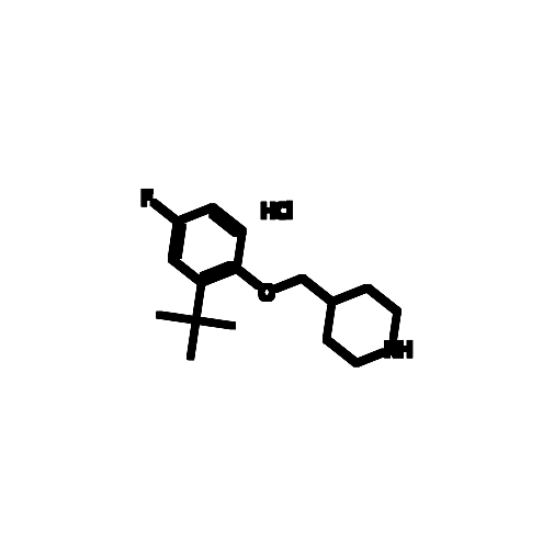 CC(C)(C)c1cc(F)ccc1OCC1CCNCC1.Cl